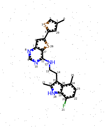 Cc1csc(-c2cc3ncnc(NCCc4c(C)[nH]c5c(F)ccc(C)c45)c3s2)c1